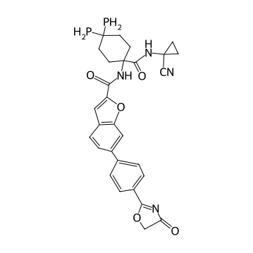 N#CC1(NC(=O)C2(NC(=O)c3cc4ccc(-c5ccc(C6=NC(=O)CO6)cc5)cc4o3)CCC(P)(P)CC2)CC1